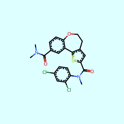 CN(C)C(=O)c1ccc2c(c1)-c1sc(C(=O)N(C)c3ccc(Cl)cc3Cl)cc1CCO2